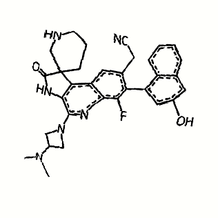 CN(C)C1CN(c2nc3c(F)c(-c4cc(O)cc5ccccc45)c(CC#N)cc3c3c2NC(=O)C32CCCNC2)C1